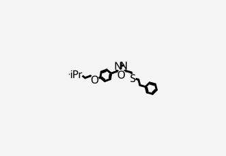 C[C](C)CCOc1ccc(-c2nnc(CSCCc3ccccc3)o2)cc1